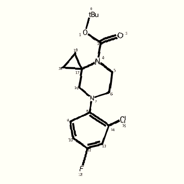 CC(C)(C)OC(=O)N1CCN(c2ccc(F)cc2Cl)CC12CC2